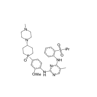 COc1cc(P2(=O)CCC(N3CCN(C)CC3)CC2)ccc1Nc1ncc(C)c(Nc2ccccc2S(=O)(=O)C(C)C)n1